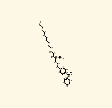 CCCCCCCCCCCCCCC(N)CCCc1ccc(C(=O)c2ccccc2)cc1